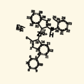 CC1=Cc2c(-c3ccccc3)cccc2[CH]1[Zr+2][CH]1C(Pc2ccccc2C)=Cc2ccccc21.[F-].[F-]